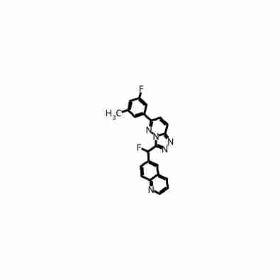 Cc1cc(F)cc(-c2ccc3nnc(C(F)c4ccc5ncccc5c4)n3n2)c1